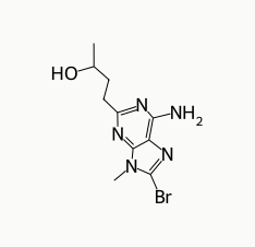 CC(O)CCc1nc(N)c2nc(Br)n(C)c2n1